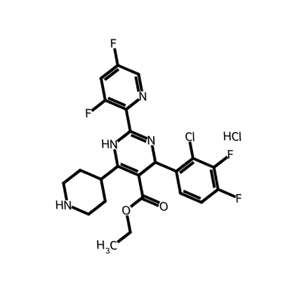 CCOC(=O)C1=C(C2CCNCC2)NC(c2ncc(F)cc2F)=NC1c1ccc(F)c(F)c1Cl.Cl